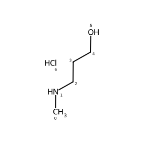 CNCCCO.Cl